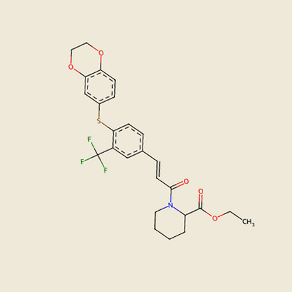 CCOC(=O)C1CCCCN1C(=O)C=Cc1ccc(Sc2ccc3c(c2)OCCO3)c(C(F)(F)F)c1